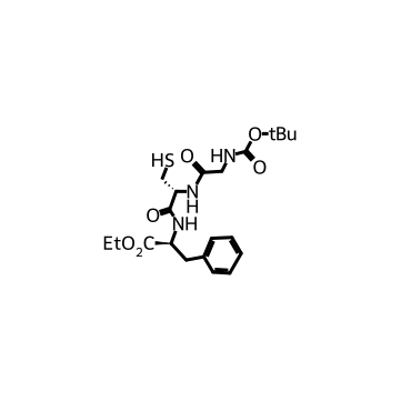 CCOC(=O)[C@H](Cc1ccccc1)NC(=O)[C@H](CS)NC(=O)CNC(=O)OC(C)(C)C